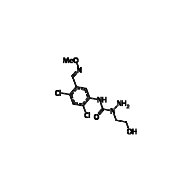 CON=Cc1cc(NC(=O)N(N)CCO)c(Cl)cc1Cl